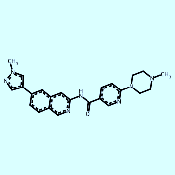 CN1CCN(c2ccc(C(=O)Nc3cc4cc(-c5cnn(C)c5)ccc4cn3)cn2)CC1